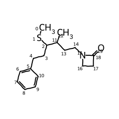 CSC(CCc1ccccc1)C(C)CCN1CCC1=O